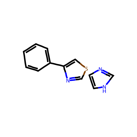 c1c[nH]cn1.c1ccc(-c2cscn2)cc1